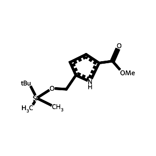 COC(=O)c1ccc(CO[Si](C)(C)C(C)(C)C)[nH]1